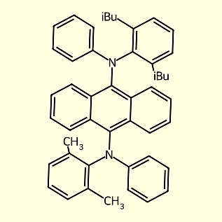 CCC(C)c1cccc(C(C)CC)c1N(c1ccccc1)c1c2ccccc2c(N(c2ccccc2)c2c(C)cccc2C)c2ccccc12